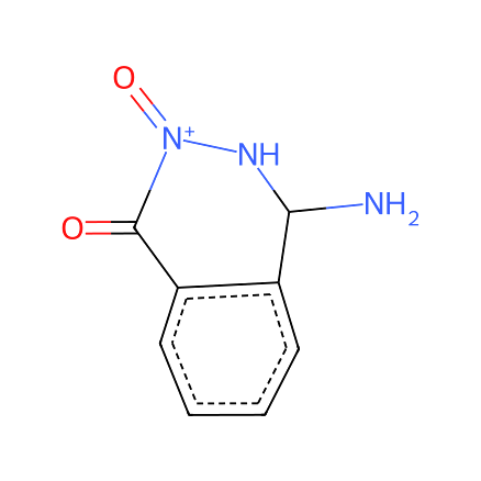 NC1N[N+](=O)C(=O)c2ccccc21